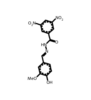 COc1cc(C=NNC(=O)c2cc([N+](=O)[O-])cc([N+](=O)[O-])c2)ccc1O